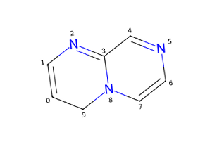 C1=CN=C2C=NC=CN2C1